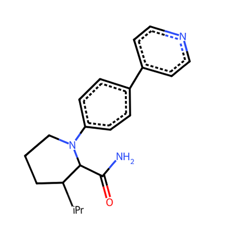 CC(C)C1CCCN(c2ccc(-c3ccncc3)cc2)C1C(N)=O